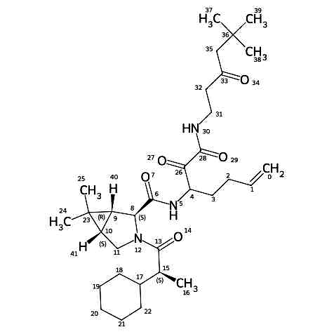 C=CCCC(NC(=O)[C@@H]1[C@@H]2[C@H](CN1C(=O)[C@@H](C)C1CCCCC1)C2(C)C)C(=O)C(=O)NCCC(=O)CC(C)(C)C